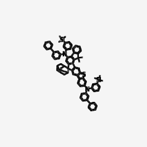 CC1(C)c2ccccc2-c2c(N(c3cccc(-c4ccccc4)c3)c3cccc([Si](C)(C)C)c3)cc3c(c21)-c1cc2sc4cc(N(c5cccc(-c6ccccc6)c5)c5cccc([Si](C)(C)C)c5)ccc4c2cc1C31C2CC3CC(C2)CC1C3